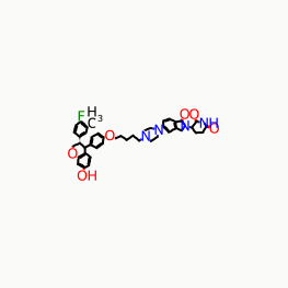 Cc1cc([C@H]2COc3cc(O)ccc3C2c2ccc(OCCCCCN3CCN(c4ccc5c(c4)CN(C4CCC(=O)NC4=O)C5=O)CC3)cc2)ccc1F